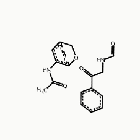 CC(=O)Nc1cc2ccc1OC2.O=CNCC(=O)c1ccccc1